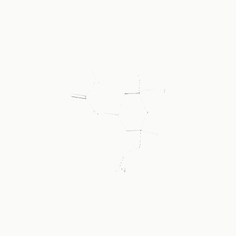 CC(C)OC(=O)NC1CC(C)(C)CC(C)(COC#N)C1